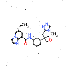 C=Cc1cc(C(=O)Nc2cccc(C3(Cc4nncn4C)COC3)c2)c2nccn2c1